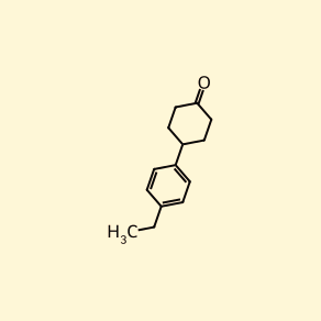 CCc1ccc(C2CCC(=O)CC2)cc1